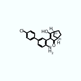 Nc1ccc(-c2ccc(Cl)cc2)cc1C1=C(O)[C@H]2CC[C@H](C2)C1=O